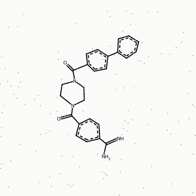 N=C(N)c1ccc(C(=O)N2CCN(C(=O)c3ccc(-c4ccccc4)cc3)CC2)cc1